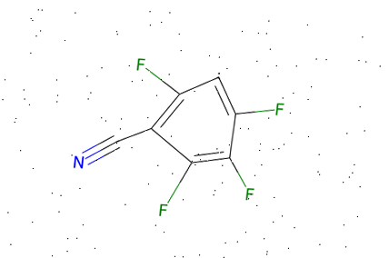 N#Cc1c(F)[c]c(F)c(F)c1F